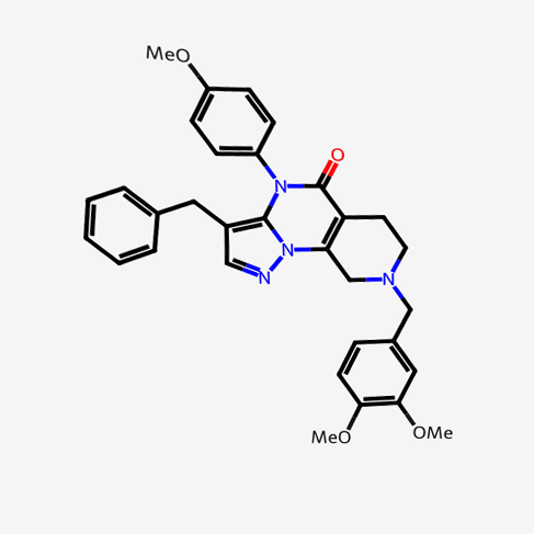 COc1ccc(-n2c(=O)c3c(n4ncc(Cc5ccccc5)c24)CN(Cc2ccc(OC)c(OC)c2)CC3)cc1